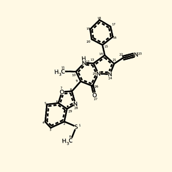 CSc1cccc2oc(-c3c(C)[nH]c4c(-c5ccccc5)c(C#N)nn4c3=O)nc12